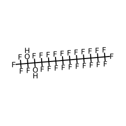 OC(F)(C(F)(F)F)C(O)(F)C(F)(F)C(F)(F)C(F)(F)C(F)(F)C(F)(F)C(F)(F)C(F)(F)C(F)(F)C(F)(F)C(F)(F)F